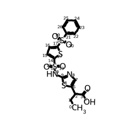 CCC(C(=O)O)c1cnc(NS(=O)(=O)c2ccc(S(=O)(=O)c3ccccc3)s2)s1